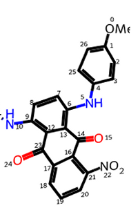 COc1ccc(Nc2ccc(NC(C)C)c3c2C(=O)c2c(cccc2[N+](=O)[O-])C3=O)cc1